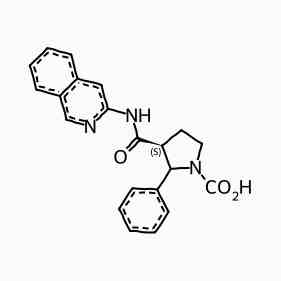 O=C(Nc1cc2ccccc2cn1)[C@H]1CCN(C(=O)O)C1c1ccccc1